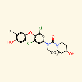 CC(C)c1cc(Oc2c(Cl)cc(N(CC(=O)O)C(=O)N3CCC(O)CC3)cc2Cl)ccc1O